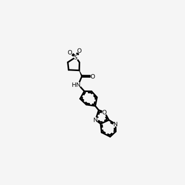 O=C(Nc1ccc(-c2nc3cccnc3o2)cc1)[C@H]1CCS(=O)(=O)C1